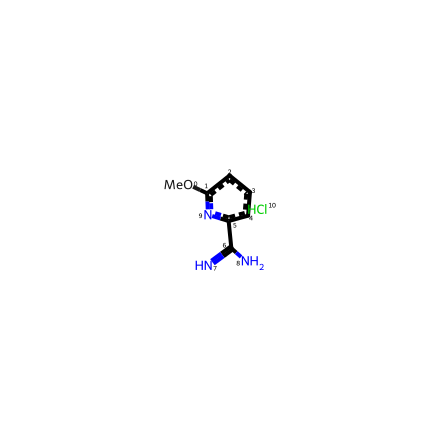 COc1cccc(C(=N)N)n1.Cl